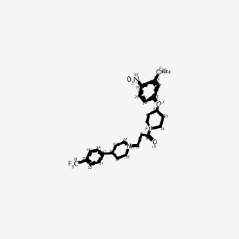 CC(C)COc1cc(OC2CCN(C(=O)CCN3CCC(c4ccc(C(F)(F)F)cc4)CC3)CC2)ccc1[N+](=O)[O-]